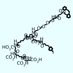 O=C(O)CCC(CP(=O)(O)OCCC[C@H](NC(=O)CC[C@H](NC(=O)CCCCCNC(=O)CCC(NC(=O)CCOCCOCCOCCOCCNC(=O)CCC(=O)N1Cc2ccccc2/C=C\c2ccccc21)C(=O)NC(CCCCNC(=O)CCCc1ccc(I)cc1)C(=O)O)C(=O)O)C(=O)O)C(=O)O